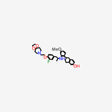 COc1ccc(C2CCc3cc(O)ccc3C2)c(NC(C)Cc2ccc(OCCN3CCC4(CC3)OCCO4)c(F)c2)c1